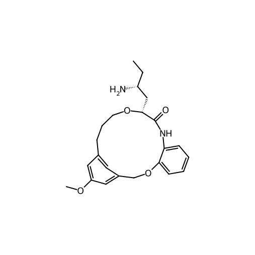 CC[C@@H](N)C[C@H]1OCCCc2cc(cc(OC)c2)COc2ccccc2NC1=O